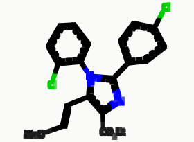 CCOC(=O)c1nc(-c2ccc(Cl)cc2)n(-c2ccccc2Cl)c1/C=C/OC